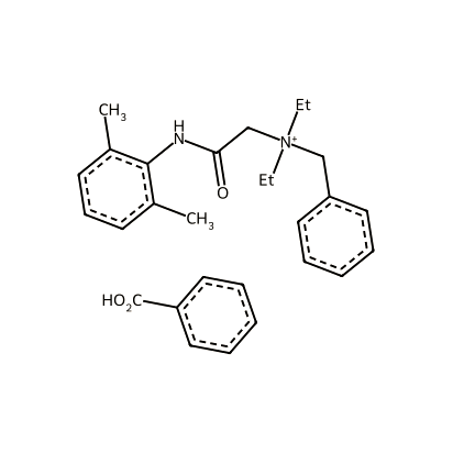 CC[N+](CC)(CC(=O)Nc1c(C)cccc1C)Cc1ccccc1.O=C(O)c1ccccc1